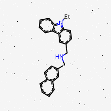 CCn1c2ccccc2c2cc(CNCc3ccc4ccccc4c3)ccc21